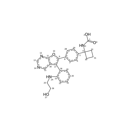 O=C(O)NC1(c2ccc(-c3oc4ncncc4c3-c3ccccc3NCCO)cc2)CCC1